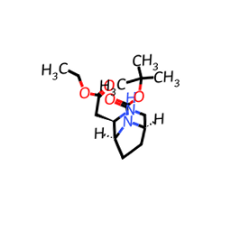 CCOC(=O)C[C@H]1NC[C@H]2CC[C@@H]1N2C(=O)OC(C)(C)C